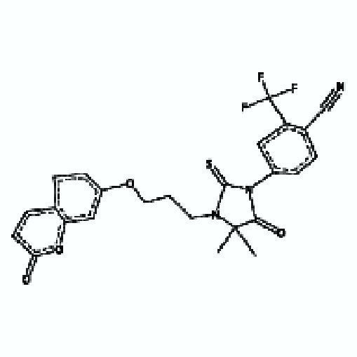 CC1(C)C(=O)N(c2ccc(C#N)c(C(F)(F)F)c2)C(=S)N1CCCOc1ccc2ccc(=O)oc2c1